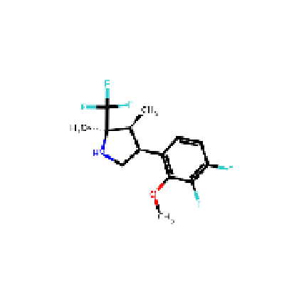 COc1c([C@H]2CN[C@@](C)(C(F)(F)F)[C@H]2C)ccc(F)c1F